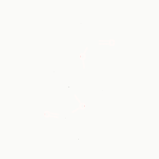 C=C(C)C(=O)OC1(C2(OC(=O)C(=C)C)CC2)CC1